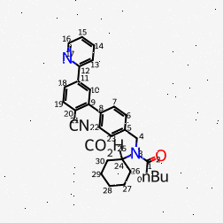 CCCCC(=O)N(Cc1ccc(-c2cc(-c3ccccn3)ccc2C#N)cc1)C1(C(=O)O)CCCCC1